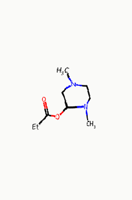 CCC(=O)OC1CN(C)CCN1C